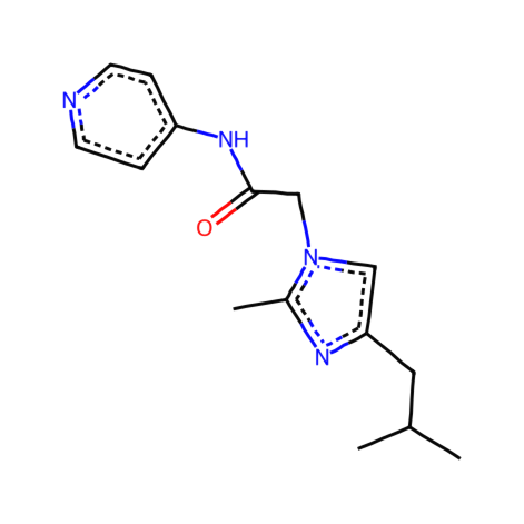 Cc1nc(CC(C)C)cn1CC(=O)Nc1ccncc1